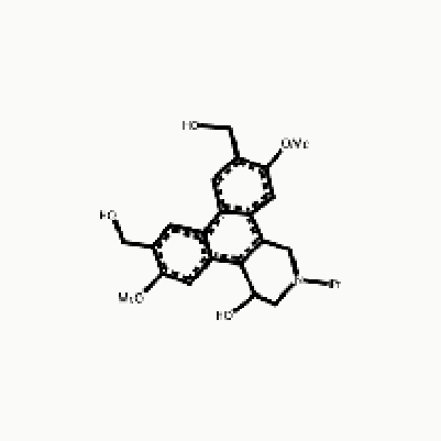 COc1cc2c3c(c4cc(OC)c(CO)cc4c2cc1CO)C(O)CN(C(C)C)C3